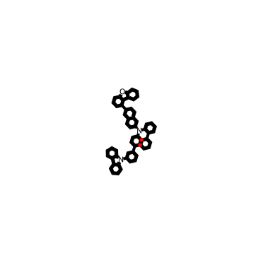 c1ccc(-c2ccccc2N(c2ccc(-c3cccc(-n4c5ccccc5c5ccccc54)c3)cc2)c2ccc3cc(-c4cccc5oc6ccccc6c45)ccc3c2)cc1